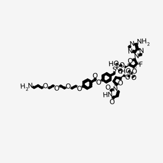 NCCCOCCOCCOCCOc1ccc(C(=O)Oc2ccc(CSP(=O)(O)OC[C@H]3O[C@@H](n4cnc5c(N)ncnc54)[C@H](F)[C@@H]3OP(=O)(O)OC[C@@H]3CC[C@H](n4ccc(=O)[nH]c4=O)O3)cc2)cc1